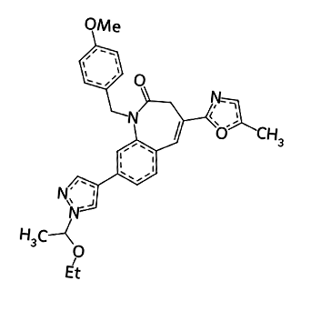 CCOC(C)n1cc(-c2ccc3c(c2)N(Cc2ccc(OC)cc2)C(=O)CC(c2ncc(C)o2)=C3)cn1